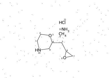 C.C1COC(CC2CO2)CN1.Cl.N